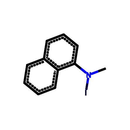 CN(I)c1cccc2ccccc12